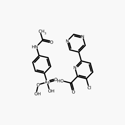 CC(=O)Nc1ccc([As](=O)(O)OO)cc1.O=C(O)c1nc(-c2cncnc2)ccc1Cl